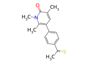 CC(=S)c1ccc(-c2cc(C)c(=O)n(C)c2C)cc1